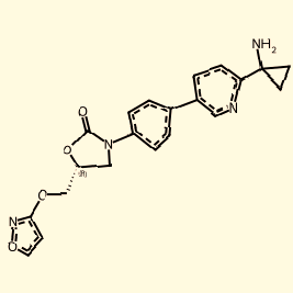 NC1(c2ccc(-c3ccc(N4C[C@H](COc5ccon5)OC4=O)cc3)cn2)CC1